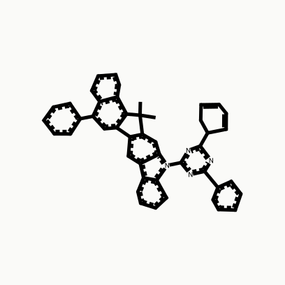 CC1(C)c2cc3c(cc2-c2cc(-c4ccccc4)c4ccccc4c21)c1ccccc1n3-c1nc(-c2ccccc2)nc(C2C=CC=CC2)n1